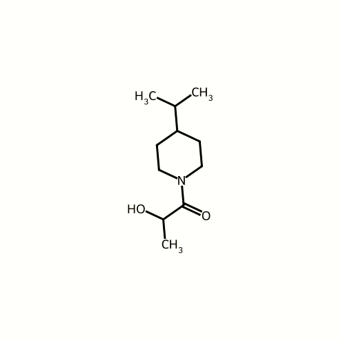 CC(O)C(=O)N1CCC(C(C)C)CC1